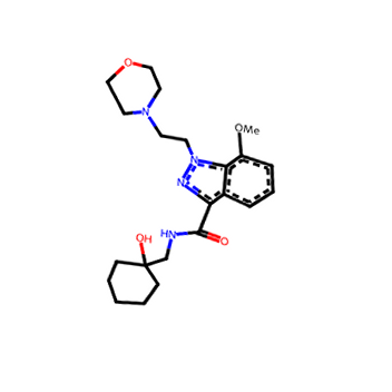 COc1cccc2c(C(=O)NCC3(O)CCCCC3)nn(CCN3CCOCC3)c12